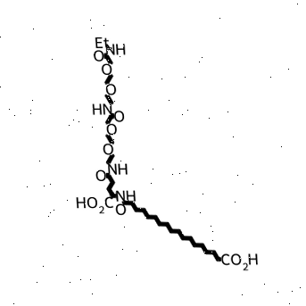 CCNC(=O)COCCOCCNC(=O)COCCOCCNC(=O)CC[C@H](NC(=O)CCCCCCCCCCCCCCCCC(=O)O)C(=O)O